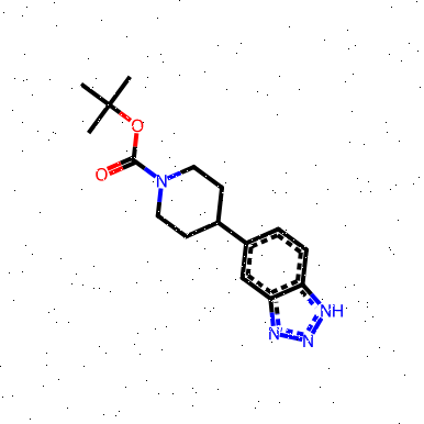 CC(C)(C)OC(=O)N1CCC(c2ccc3[nH]nnc3c2)CC1